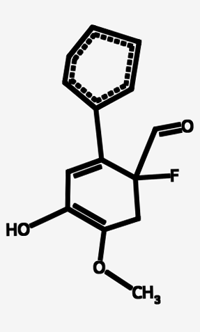 COC1=C(O)C=C(c2ccccc2)C(F)(C=O)C1